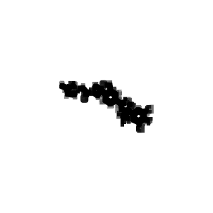 Cc1ccn(CC(=O)N2CC3(C2)OCc2cc(C4=NOC(c5cc(Cl)c(F)c(Cl)c5)(C(F)(F)F)C4)ccc23)n1